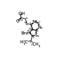 CC(C)c1sc2ncnc(SCC(=O)O)c2c1Br